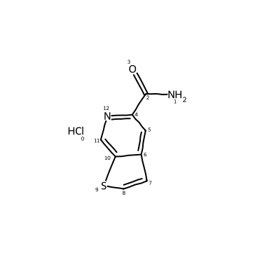 Cl.NC(=O)c1cc2ccsc2cn1